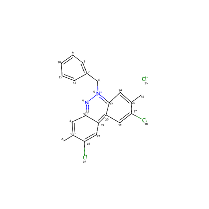 Cc1cc2n[n+](Cc3ccccc3)c3cc(C)c(Cl)cc3c2cc1Cl.[Cl-]